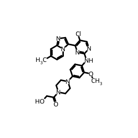 COc1cc(N2CCN(C(=O)CO)CC2)ccc1Nc1ncc(Cl)c(-c2cnc3cc(C)ccn23)n1